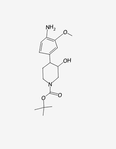 COc1cc(C2CCN(C(=O)OC(C)(C)C)CC2O)ccc1N